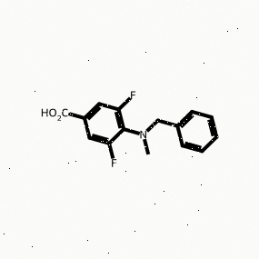 CN(Cc1ccccc1)c1c(F)cc(C(=O)O)cc1F